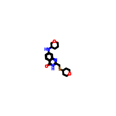 O=c1[nH]c(CSC2CCOCC2)nc2cc(NC3CCCOC3)ccc12